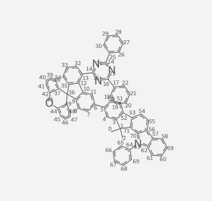 CC1(C)c2cc(-c3ccc4c(c3)-c3c(-c5nc(-c6ccccc6)nc(-c6ccccc6)n5)cccc3C43c4ccccc4Oc4ccccc43)ccc2-c2ccc3c4ccccc4n(-c4ccccc4)c3c21